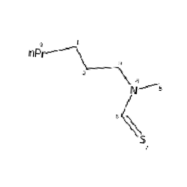 CCCCCCN(C)C=S